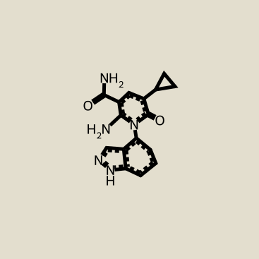 NC(=O)c1cc(C2CC2)c(=O)n(-c2cccc3[nH]ncc23)c1N